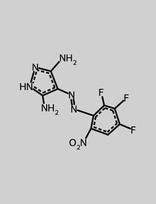 Nc1n[nH]c(N)c1N=Nc1c([N+](=O)[O-])cc(F)c(F)c1F